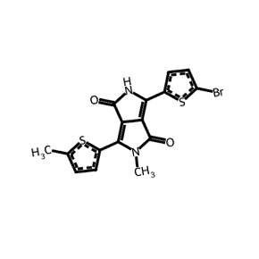 Cc1ccc(C2=C3C(=O)NC(c4ccc(Br)s4)=C3C(=O)N2C)s1